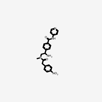 CN(CC(N)c1ccc(C(=O)Nc2ccncc2)cc1)C(=O)Cc1ccc([N+](=O)[O-])cc1